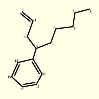 C=CCC(CCCCC)c1ccccc1